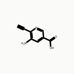 C#Cc1ncc(C(=O)O)cc1N